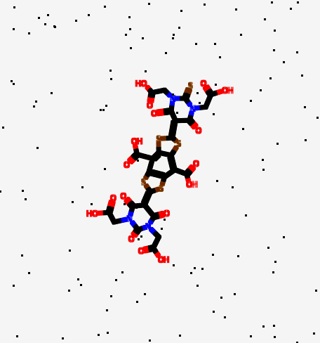 O=C(O)CN1C(=O)C(=C2Sc3c(c(C(=O)O)c4c(c3C(=O)O)SC(=C3C(=O)N(CC(=O)O)C(=S)N(CC(=O)O)C3=O)S4)S2)C(=O)N(CC(=O)O)C1=O